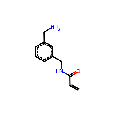 C=CC(=O)NCc1cccc(CN)c1